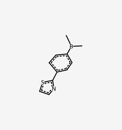 CB(C)c1ccc(-c2nccs2)cc1